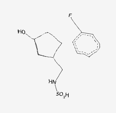 Fc1ccccc1.O=S(=O)(O)NCC1CCC(O)C1